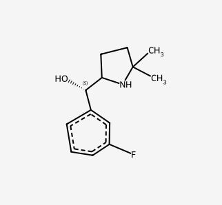 CC1(C)CCC([C@@H](O)c2cccc(F)c2)N1